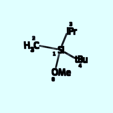 CO[Si](C)(C(C)C)C(C)(C)C